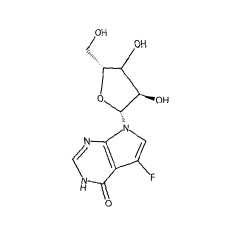 O=c1[nH]cnc2c1c(F)cn2[C@@H]1O[C@H](CO)C(O)[C@H]1O